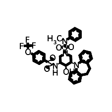 CN(c1ccccc1)S(=O)(=O)N1C[C@@H](NS(=O)(=O)c2ccc(OC(F)(F)F)cc2)[C@H](O)[C@@H](N2c3ccccc3CCc3ccccc32)C1